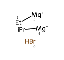 Br.C[CH2][Mg+].C[CH](C)[Mg+]